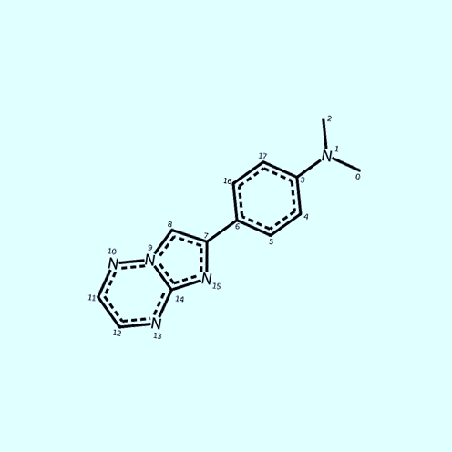 CN(C)c1ccc(-c2cn3nccnc3n2)cc1